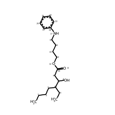 CCCCC(CC)C(O)CC(=O)OCCCCNc1ccccc1